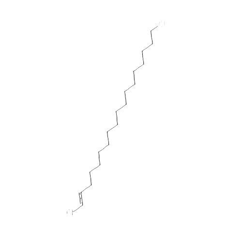 ClC=CCCCCCCCCCCCCCCCCCl